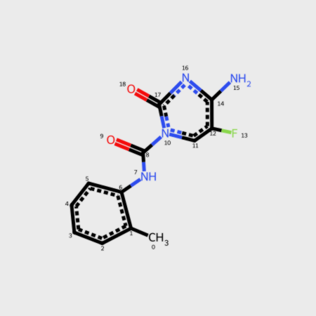 Cc1ccccc1NC(=O)n1cc(F)c(N)nc1=O